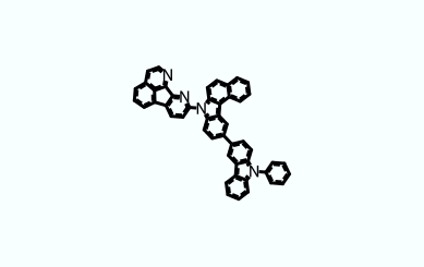 c1ccc(-n2c3ccccc3c3cc(-c4ccc5c(c4)c4c6ccccc6ccc4n5-c4ccc5c(n4)-c4nccc6cccc-5c46)ccc32)cc1